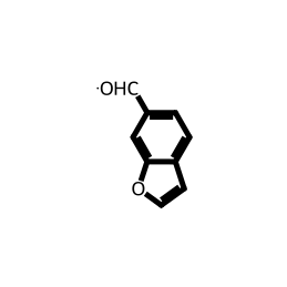 O=[C]c1ccc2ccoc2c1